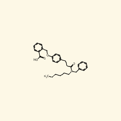 CCCCCCN(Cc1ccccc1)C(=O)CCc1ccc(OCc2ccccc2C(=O)O)cc1